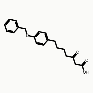 O=C(O)CC(=O)CCCCc1ccc(OCc2ccccc2)cc1